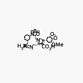 CCCCN(C(=O)CN1C[C@H](c2cc(OC)c3c(c2)OCO3)[C@@H](C(=O)O)[C@@H]1CCN(C)C(C)=O)c1cccc(CN)c1